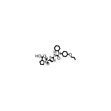 CCCOC1CCC(N(C(=O)Nc2ncc(S(=O)(=O)N3CCCC3C(=O)O)s2)C2CCCCC2)CC1